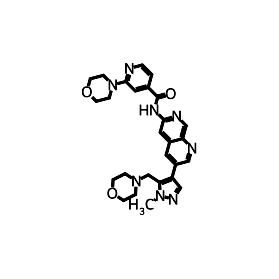 Cn1ncc(-c2cnc3cnc(NC(=O)c4ccnc(N5CCOCC5)c4)cc3c2)c1CN1CCOCC1